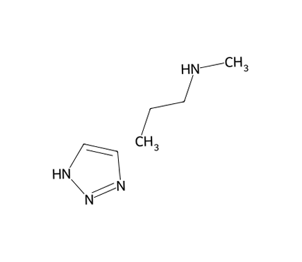 CCCNC.c1c[nH]nn1